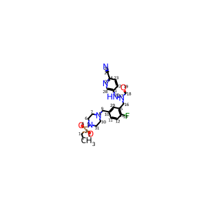 CCS(=O)(=O)N1CCN(Cc2ccc(F)c(CN(C=O)Nc3ccc(C#N)nc3)c2)CC1